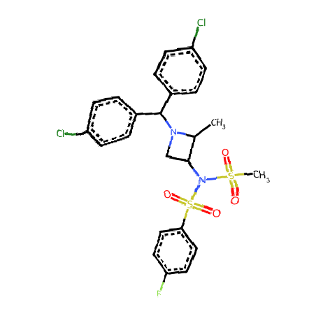 CC1C(N(S(C)(=O)=O)S(=O)(=O)c2ccc(F)cc2)CN1C(c1ccc(Cl)cc1)c1ccc(Cl)cc1